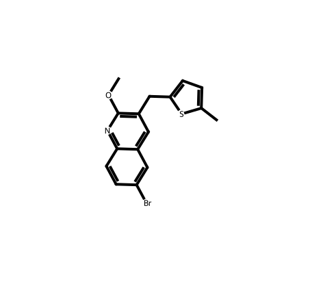 COc1nc2ccc(Br)cc2cc1Cc1ccc(C)s1